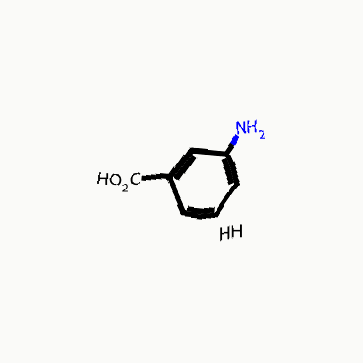 Nc1cccc(C(=O)O)c1.[HH]